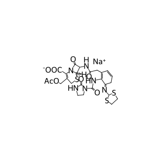 CC(=O)OCC1=C(C(=O)[O-])N2C(=O)C(NC(=O)CC3=C(NC(=O)N4CCNC4=O)C(=NC4SCCS4)CC=C3)[C@@H]2SC1.[Na+]